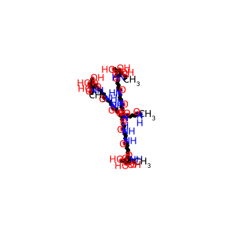 CNC(=O)CCCC(=O)NC(COCCC(=O)NCCCNC(=O)CCCCO[C@@H]1OC(CO)C(O)C(O)[C@@H]1NC(C)=O)(COCCC(=O)NCCCNC(=O)CCCCO[C@@H]1OC(CO)C(O)C(O)[C@@H]1NC(C)=O)COCCC(=O)NCCCNC(=O)CCCCO[C@@H]1OC(CO)C(O)C(O)[C@@H]1NC(C)=O